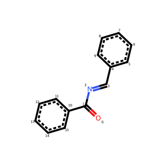 O=C(N=Cc1ccccc1)c1ccccc1